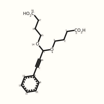 O=C(O)CCCOC(C#Cc1ccccc1)OCCCC(=O)O